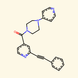 O=C(c1ccnc(C#Cc2ccccc2)c1)N1CCN(c2ccncc2)CC1